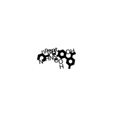 C=C(C)c1ccc(C)cc1-c1c(O)cc(CCCCC)c(S(=O)(=O)NC(O)c2cccnc2)c1O